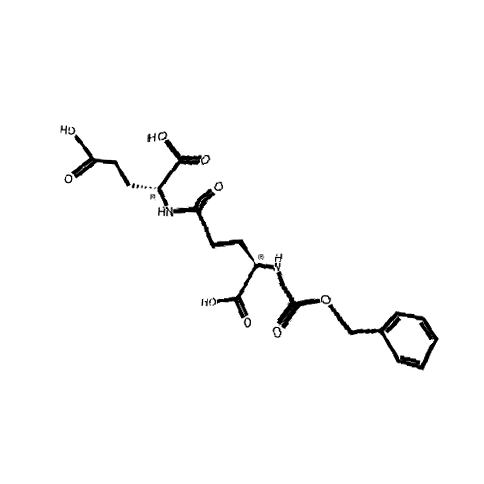 O=C(O)CC[C@@H](NC(=O)CC[C@@H](NC(=O)OCc1ccccc1)C(=O)O)C(=O)O